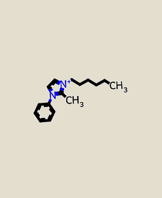 CCCCCC[n+]1ccn(-c2ccccc2)c1C